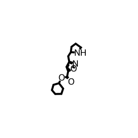 O=C(OC1CCCCC1)c1cc(CC2CCCN2)no1